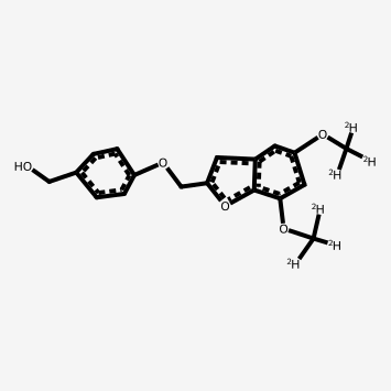 [2H]C([2H])([2H])Oc1cc(OC([2H])([2H])[2H])c2oc(COc3ccc(CO)cc3)cc2c1